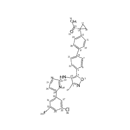 Cc1noc(-c2ccc(-c3ccc(C4(C(=O)O)CC4)cc3)cc2)c1Nc1cccc(-c2cc(F)cc(Cl)c2)n1